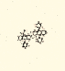 CCc1nc2cccc3c2n1-c1cc(-c2ccc4c(-c5ccccc5)c5ccccc5c(-c5ccccc5)c4c2)ccc1N3c1ccccc1